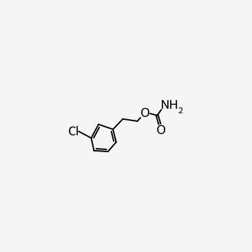 NC(=O)OCCc1cccc(Cl)c1